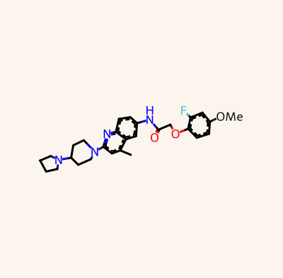 COc1ccc(OCC(=O)Nc2ccc3nc(N4CCC(N5CCCC5)CC4)cc(C)c3c2)c(F)c1